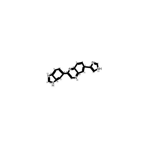 c1nc(-c2ccc3nc(-c4ccc5nc[nH]c5c4)cnc3c2)c[nH]1